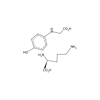 NCCC[C@H](N)C(=O)O.O=C(O)CNc1ccc(O)cc1